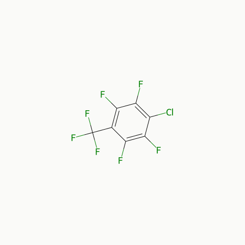 Fc1c(F)c(C(F)(F)F)c(F)c(F)c1Cl